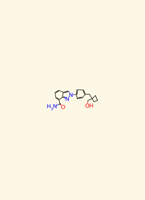 NC(=O)c1cccc2cn(-c3ccc(CC4(CO)CCC4)cc3)nc12